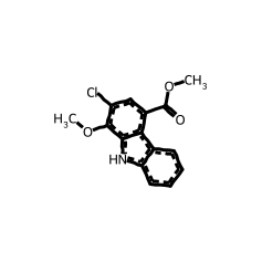 COC(=O)c1cc(Cl)c(OC)c2[nH]c3ccccc3c12